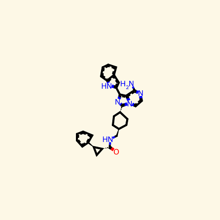 Nc1nccn2c1c(-c1cc3ccccc3[nH]1)nc2[C@H]1CC[C@H](CNC(=O)[C@@H]2C[C@H]2c2ccccc2)CC1